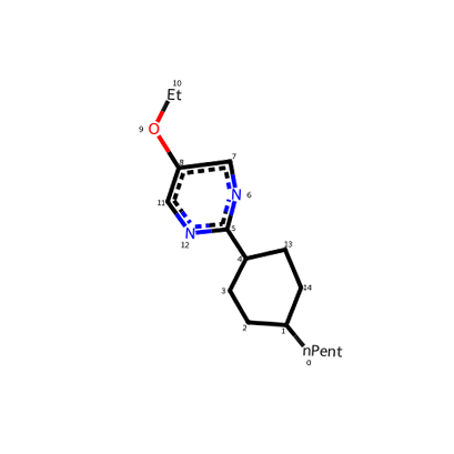 CCCCCC1CCC(c2ncc(OCC)cn2)CC1